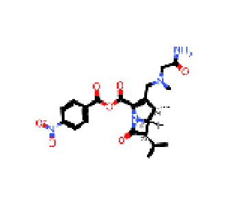 CC(C)[C@H]1C(=O)N2C(C(=O)OC(=O)c3ccc([N+](=O)[O-])cc3)=C(CN(C)CC(N)=O)[C@H](C)[C@H]12